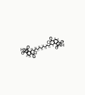 O=C(Cl)c1ccc2c(c1CCCCCCCCCCCCc1c(C(=O)Cl)ccc3c1C(=O)NC3=O)C(=O)NC2=O